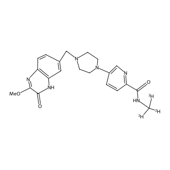 [2H]C([2H])([2H])NC(=O)c1ccc(N2CCN(Cc3ccc4nc(OC)c(=O)[nH]c4c3)CC2)cn1